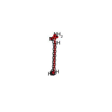 [N-]=[N+]=Nc1ccc2c3ccc(N)cc3c(-c3ccccc3)[n+](CCCCCC(=O)NCCOCCOCCOCCOCCOCCOCCOCCOCCOCCOCCOCCOCCC(=O)N[C@@H](CS(=O)(=O)[O-])C(=O)O)c2c1